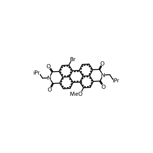 COc1cc2c3c(ccc4c5c(Br)cc6c7c(ccc(c1c34)c75)C(=O)N(CC(C)C)C6=O)C(=O)N(CC(C)C)C2=O